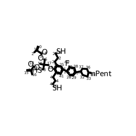 C=C(C)C(=O)OCC(CS)(COC(=O)C(=C)C)COc1c(CCCS)cc(-c2ccc(C3CCC(CCCCC)CC3)cc2F)cc1CCCS